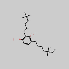 CCC(C)(C)CCCCc1ccc(O)c(CCCCC(C)(C)C)c1O